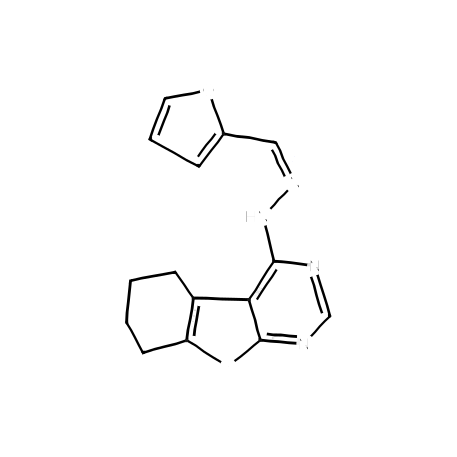 C(=N/Nc1ncnc2sc3c(c12)CCCC3)/c1ccco1